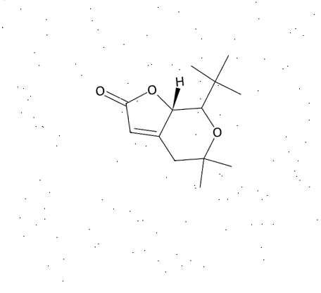 CC1(C)CC2=CC(=O)O[C@@H]2C(C(C)(C)C)O1